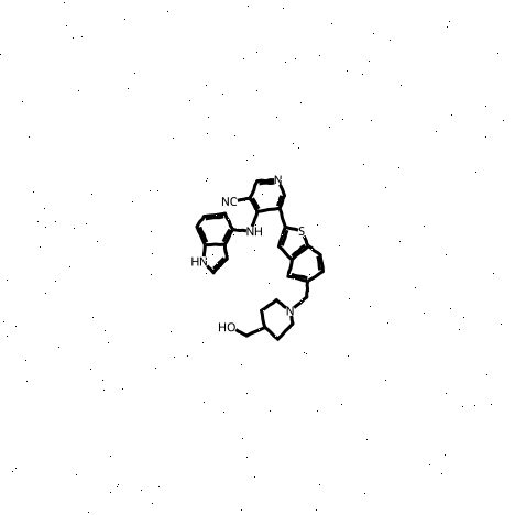 N#Cc1cncc(-c2cc3cc(CN4CCC(CO)CC4)ccc3s2)c1Nc1cccc2[nH]ccc12